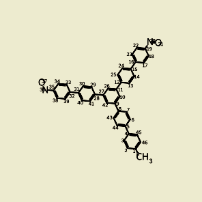 Cc1ccc(-c2ccc(-c3cc(-c4ccc(-c5ccc(N=O)cc5)cc4)cc(-c4ccc(-c5ccc(N=O)cc5)cc4)c3)cc2)cc1